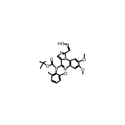 COc1cc2nc(N(C(=O)OC(C)(C)C)c3c(C)cccc3Cl)c3cnc(/C=N\O)n3c2cc1OC